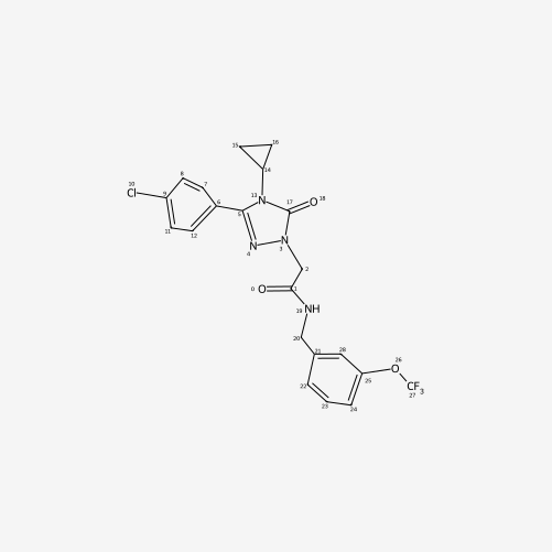 O=C(Cn1nc(-c2ccc(Cl)cc2)n(C2CC2)c1=O)NCc1cccc(OC(F)(F)F)c1